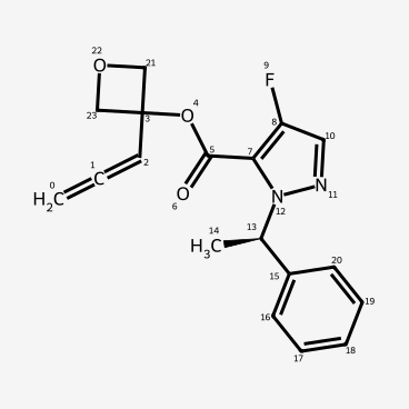 C=C=CC1(OC(=O)c2c(F)cnn2[C@H](C)c2ccccc2)COC1